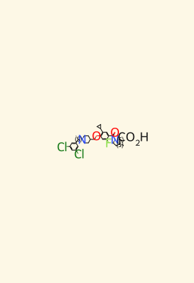 C[C@H]1CCN(C(=O)c2cc(C3CC3)c(OCC3CCN([C@@H](C)c4cc(Cl)cc(Cl)c4)CC3)cc2F)[C@@H]1C(=O)O